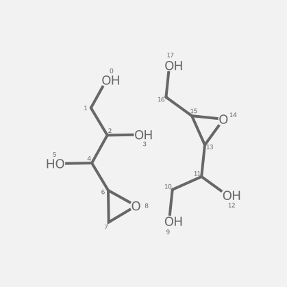 OCC(O)C(O)C1CO1.OCC(O)C1OC1CO